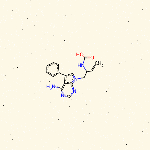 C=CC(Cn1cc(-c2ccccc2)c2c(N)ncnc21)NC(=O)O